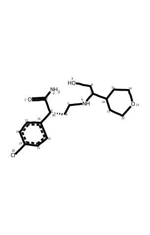 NC(=O)[C@H](CCNC(CO)C1CCOCC1)c1ccc(Cl)cc1